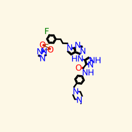 CN1CCN(Cc2ccc(NC(=O)c3n[nH]cc3Nc3ncnc4c3ccn4CCCc3cc(F)cc(S(=O)(=O)n4cncn4)c3)cc2)CC1